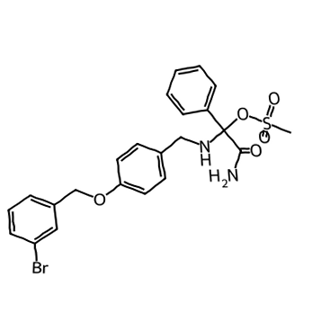 CS(=O)(=O)OC(NCc1ccc(OCc2cccc(Br)c2)cc1)(C(N)=O)c1ccccc1